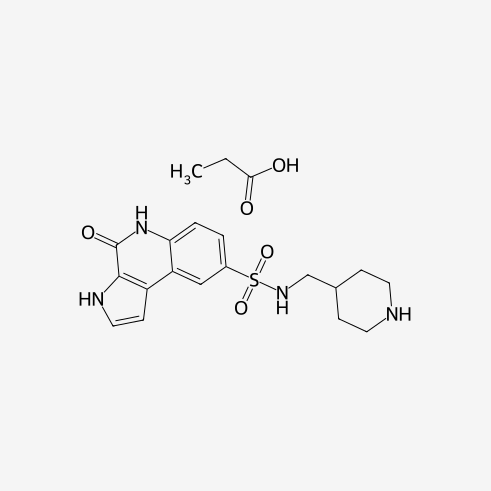 CCC(=O)O.O=c1[nH]c2ccc(S(=O)(=O)NCC3CCNCC3)cc2c2cc[nH]c12